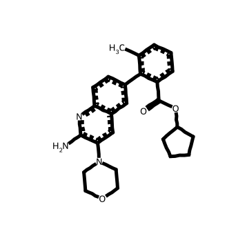 Cc1cccc(C(=O)OC2CCCC2)c1-c1ccc2nc(N)c(N3CCOCC3)cc2c1